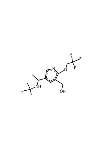 CC(NC(C)(C)C)c1cnc(OCC(F)(F)F)c(CO)c1